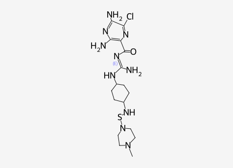 CN1CCN(SNC2CCC(N/C(N)=N/C(=O)c3nc(Cl)c(N)nc3N)CC2)CC1